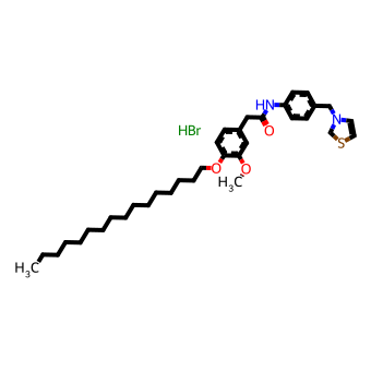 Br.CCCCCCCCCCCCCCCCOc1ccc(CC(=O)Nc2ccc(CN3C=CSC3)cc2)cc1OC